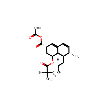 CCC(C)(C)C(=O)O[C@H]1C[C@H](C(=O)OC(=O)OCC(C)C)C=C2C=C[C@H](C)C(CCC#N)[C@H]21